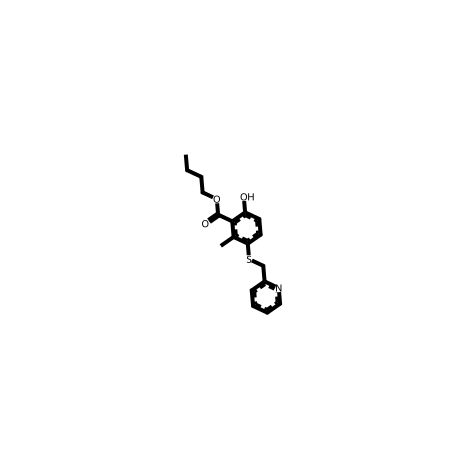 CCCCOC(=O)c1c(O)ccc(SCc2ccccn2)c1C